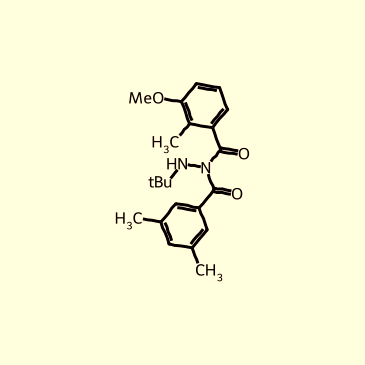 COc1cccc(C(=O)N(NC(C)(C)C)C(=O)c2cc(C)cc(C)c2)c1C